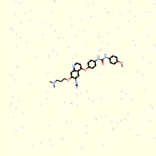 [C-]#[N+]c1cc2c(Oc3ccc(NC(=O)Nc4ccc(OC)cc4)cc3)ccnc2cc1OCCCN(C)C